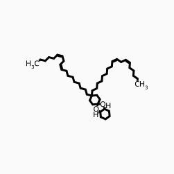 CCCCC/C=C\C/C=C\CCCCCCCCC1(CCCCCCCC/C=C\C/C=C\CCCCC)CCC2(CC1)O[C@H]1CCCC[C@H]1O2